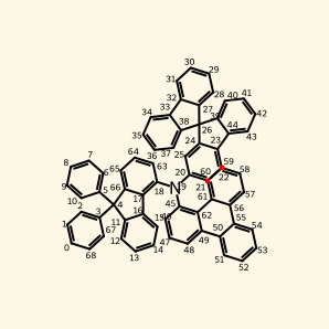 c1ccc(C2(c3ccccc3)c3ccccc3-c3c(N(c4ccc5c(c4)C4(c6ccccc6-c6ccccc64)c4ccccc4-5)c4cccc5c6ccccc6c6ccccc6c45)cccc32)cc1